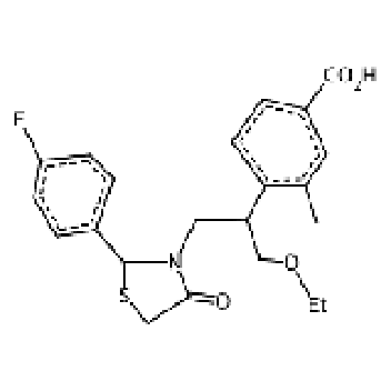 CCOCC(CN1C(=O)CSC1c1ccc(F)cc1)c1ccc(C(=O)O)cc1C